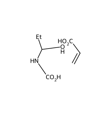 C=CC(=O)O.CCC(O)NC(=O)O